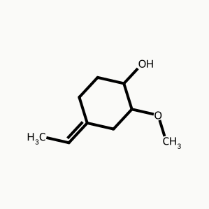 CC=C1CCC(O)C(OC)C1